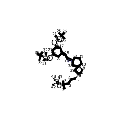 CC(C)(CCC[C@H]1CC[C@]2(CCC/C(=C\C=C3C[C@@H](O[Si](C)(C)C(C)(C)C)C[C@H](O[Si](C)(C)C(C)(C)C)C3)C2)C1)O[Si](C)(C)C